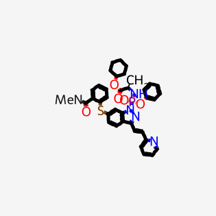 CNC(=O)c1ccccc1Sc1ccc2c(/C=C/c3ccccn3)nn(P(=O)(N[C@@H](C)C(=O)OC3CCCCC3)Oc3ccccc3)c2c1